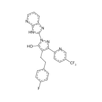 Oc1c(CCc2ccc(F)cc2)c(-c2ccc(C(F)(F)F)cn2)nn1-c1nc2cccnc2[nH]1